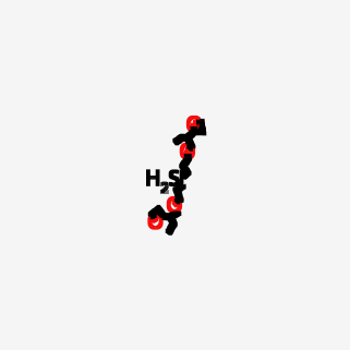 CCC(COCCC[SiH2]CCCOCC(CC)C1CCO1)C1CCO1